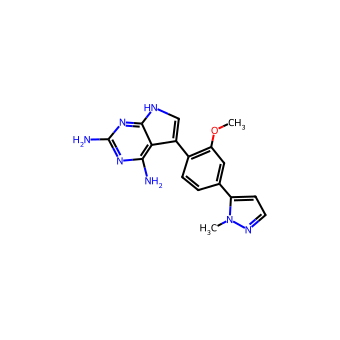 COc1cc(-c2ccnn2C)ccc1-c1c[nH]c2nc(N)nc(N)c12